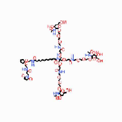 CC(=O)NC1C(O)CC(CO)OC1OCCOCCOCCNC(=O)CCOCC(COCCC(=O)NCCOCCOCCOC1OC(CO)CC(O)C1NC(C)=O)(COCCC(=O)NCCOCCOCCOC1OC(CO)C(O)C(O)C1NC(C)=O)NC(=O)CCCCCCCCCCC(=O)NCCOC1(OCCNC(=O)CCN2C(=O)C=CC2=O)CCCC1